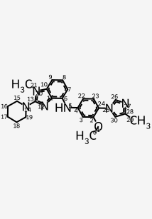 COc1cc(Nc2cccc3c2nc(N2CCCCC2)n3C)ccc1-n1cnc(C)c1